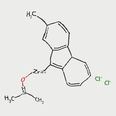 Cc1ccc2c(c1)[C]([Zr+2][O][SiH](C)C)=C1C=CC=CC12.[Cl-].[Cl-]